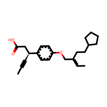 CC#C[C@@H](CC(=O)O)c1ccc(OC/C(=C/C)CCC2CCCC2)cc1